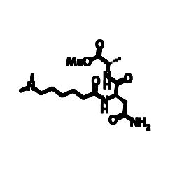 COC(=O)[C@H](C)NC(=O)[C@@H](CC(N)=O)NC(=O)CCCCCN(C)C